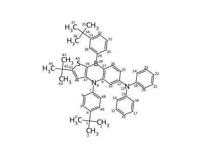 CC(C)(C)c1ccc(N2c3cc(N(c4ccccc4)c4ccccc4)ccc3B(c3cccc(C(C)(C)C)c3)c3sc(C(C)(C)C)cc32)cc1